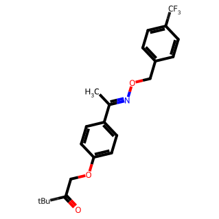 C/C(=N\OCc1ccc(C(F)(F)F)cc1)c1ccc(OCC(=O)C(C)(C)C)cc1